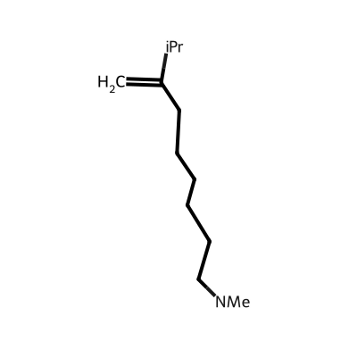 C=C(CCCCCCNC)C(C)C